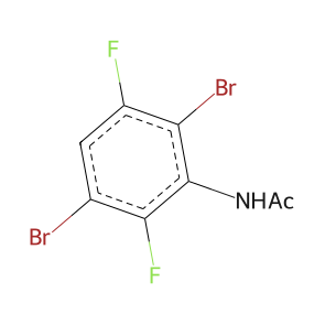 CC(=O)Nc1c(F)c(Br)cc(F)c1Br